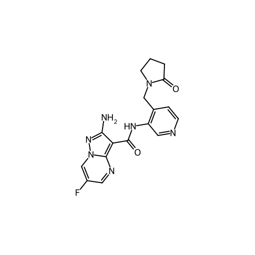 Nc1nn2cc(F)cnc2c1C(=O)Nc1cnccc1CN1CCCC1=O